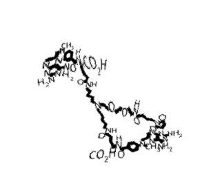 CN(Cc1cnc2nc(N)nc(N)c2n1)c1ccc(C(=O)N[C@@H](CCC(=O)NCCCCCN(CCCCCNC(=O)CC[C@@H](NC(=O)c2ccc(N(C)Cc3cnc4nc(N)nc(N)c4n3)cc2)C(=O)O)CCOCCOCCNC(=O)CCCN2C(=O)C=CC2=O)C(=O)O)cc1